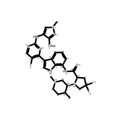 COc1nn(C)cc1Nc1ncc(F)c(-c2c[nH]c3c(NC(=O)C4CC(F)(F)CN4[C@@H]4CN(C)CCC4C)cccc23)n1